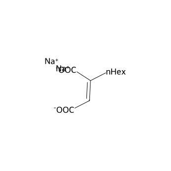 CCCCCC/C(=C/C(=O)[O-])C(=O)[O-].[Na+].[Na+]